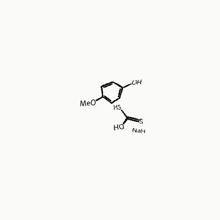 COc1ccc(O)cc1.OC(=S)S.[NaH]